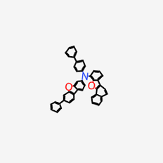 c1ccc(-c2ccc(N(c3ccc4c(c3)oc3cc(-c5ccccc5)ccc34)c3cccc4c3oc3c5ccccc5ccc43)cc2)cc1